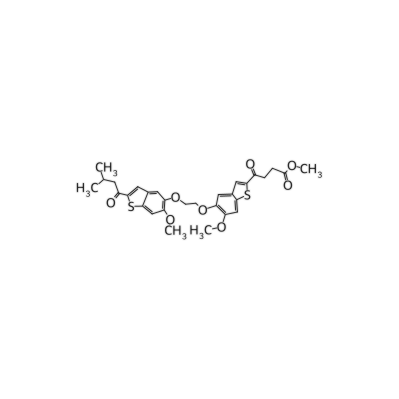 COC(=O)CCC(=O)c1cc2cc(OCCOc3cc4cc(C(=O)CC(C)C)sc4cc3OC)c(OC)cc2s1